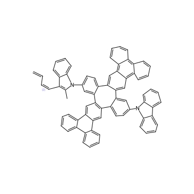 C=C/C=C\c1c(C)n(-c2ccc3c(c2)-c2cc4c5ccccc5c5ccccc5c4cc2-c2ccc(-n4c5ccccc5c5ccccc54)cc2-c2cc4c5ccccc5c5ccccc5c4cc2-3)c2ccccc12